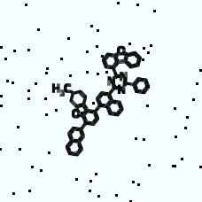 CC1C=Cc2c(oc3c(-c4ccc5ccccc5c4)ccc(-c4ccc(-c5nc(-c6ccccc6)nc(-c6cccc7oc8ccccc8c67)n5)c5ccccc45)c23)C1